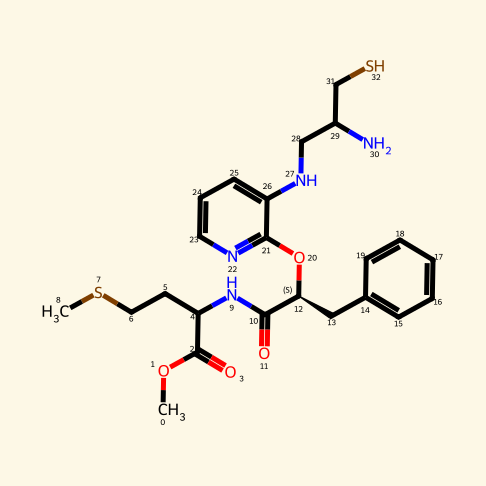 COC(=O)C(CCSC)NC(=O)[C@H](Cc1ccccc1)Oc1ncccc1NCC(N)CS